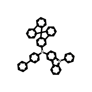 c1ccc(-c2ccc(N(c3ccc4c(c3)-c3ccccc3C43c4ccccc4-c4ccccc43)c3ccc4c(c3)c3ccccc3n4-c3ccccc3)cc2)cc1